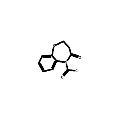 O=C(Cl)N1C(=O)CCSc2ccccc21